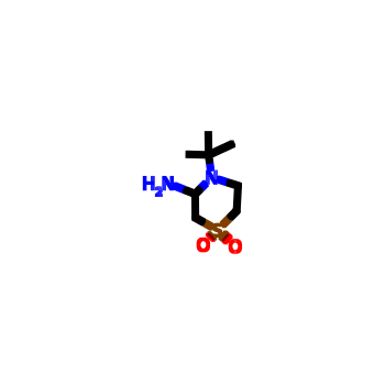 CC(C)(C)N1CCS(=O)(=O)CC1N